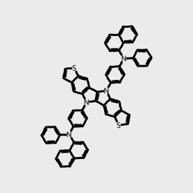 c1ccc(N(c2ccc(-n3c4cc5ccsc5cc4c4c3c3cc5sccc5cc3n4-c3ccc(N(c4ccccc4)c4cccc5ccccc45)cc3)cc2)c2cccc3ccccc23)cc1